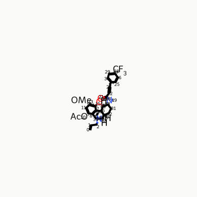 C=CCN1CC[C@]23c4c5c(OC(C)=O)cc(OC)c4O[C@H]2[C@H](N(C)C(=O)C#Cc2ccc(C(F)(F)F)cc2)CC[C@H]3[C@H]1C5